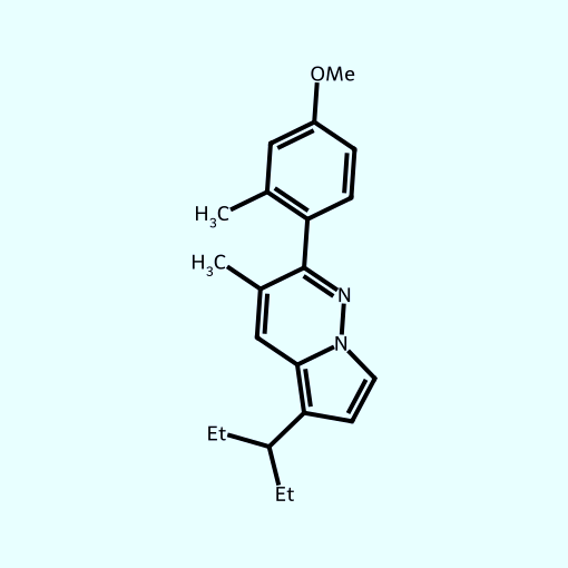 CCC(CC)c1ccn2nc(-c3ccc(OC)cc3C)c(C)cc12